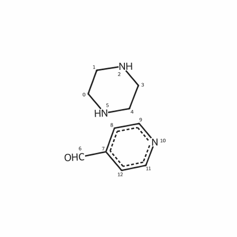 C1CNCCN1.O=Cc1ccncc1